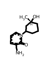 C[C@@]1(O)CCCC(n2cccc(N)c2=O)C1